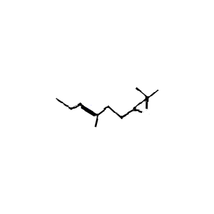 CC/C=C(\C)CCC1OC1(C)C